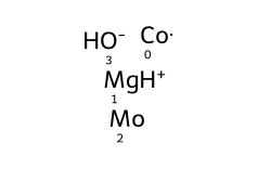 [Co].[MgH+].[Mo].[OH-]